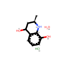 C[C@@H]1CC(O)c2cccc(O)c2N1.Cl.O